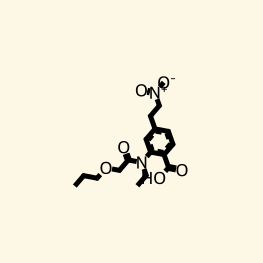 CCCOCC(=O)N(CC)c1cc(CC[N+](=O)[O-])ccc1C(=O)O